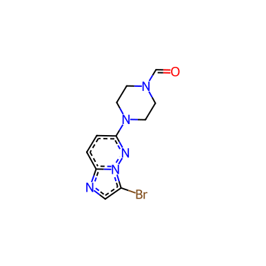 O=CN1CCN(c2ccc3ncc(Br)n3n2)CC1